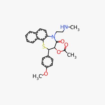 CNCCN1C(=O)C(OC(C)=O)C(c2ccc(OC)cc2)Sc2c1ccc1ccccc21